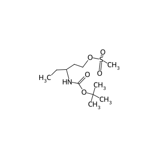 CCC(CCOS(C)(=O)=O)NC(=O)OC(C)(C)C